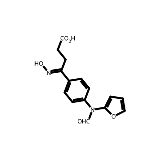 O=CN(c1ccc(C(CCC(=O)O)=NO)cc1)c1ccco1